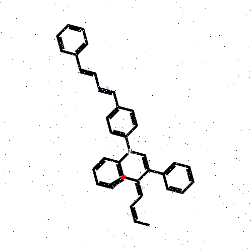 C=CC(=C\C=C/C)/C(=C\N(c1ccccc1)c1ccc(/C=C/C=C/c2ccccc2)cc1)c1ccccc1